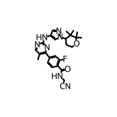 Cc1cnc(Nc2cnn(C3CCOC(C)(C)C3(C)C)c2)nc1-c1ccc(C(=O)NCC#N)c(F)c1